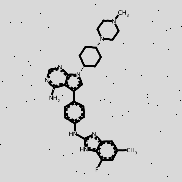 Cc1cc(F)c2[nH]c(Nc3ccc(-c4cn([C@H]5CC[C@@H](N6CCN(C)CC6)CC5)c5ncnc(N)c45)cc3)nc2c1